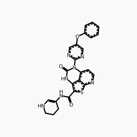 O=C(NC1=CNCCC1)c1sc2nccc3c2c1NC(=O)N3c1ncc(Oc2ccccc2)cn1